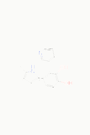 Cc1ccc(-c2ccc(O)c(O)c2)[nH]1.c1ccncc1